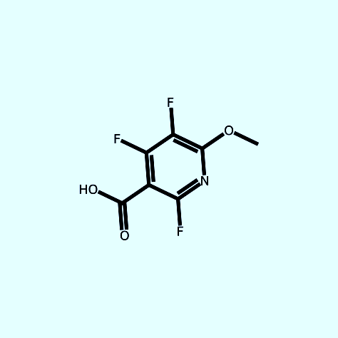 COc1nc(F)c(C(=O)O)c(F)c1F